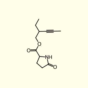 CC#CC(CC)COC(=O)C1CCC(=O)N1